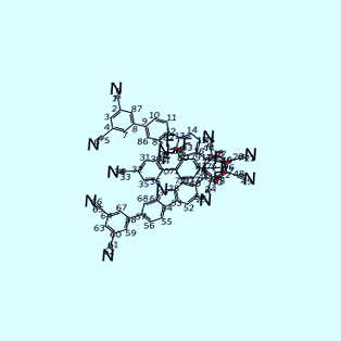 N#Cc1cc(C#N)cc(-c2ccc3c4ccc(-c5cc(C#N)cc(C#N)c5)cc4n(-c4cc(C#N)cc(-n5c6cc(-c7cc(C#N)cc(C#N)c7)ccc6c6ccc(-c7cc(C#N)cc(C#N)c7)cc65)c4-c4ccc(C(F)(F)F)cc4C(F)(F)F)c3c2)c1